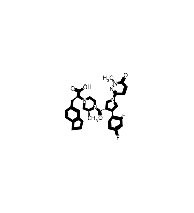 C[C@H]1CN([C@@H](Cc2ccc3c(c2)CCC3)C(=O)O)CCN1C(=O)[C@@H]1CN(c2ccc(=O)n(C)n2)C[C@H]1c1ccc(F)cc1F